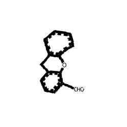 O=[C]c1cccc2c1Oc1ccccc1C2